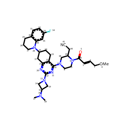 COCC=CC(=O)N1CCN(c2nc(N3CC(N(C)C)C3)nc3c2CCC(N2CCCc4ccc(F)cc42)C3)CC1CC#N